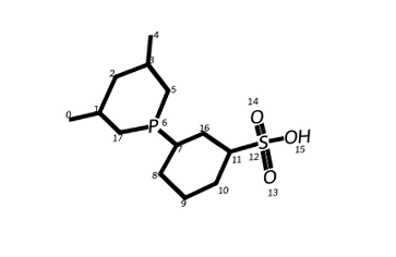 CC1CC(C)CP(C2CCCC(S(=O)(=O)O)C2)C1